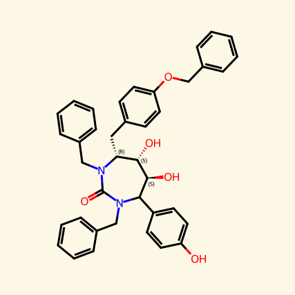 O=C1N(Cc2ccccc2)C(c2ccc(O)cc2)[C@H](O)[C@@H](O)[C@@H](Cc2ccc(OCc3ccccc3)cc2)N1Cc1ccccc1